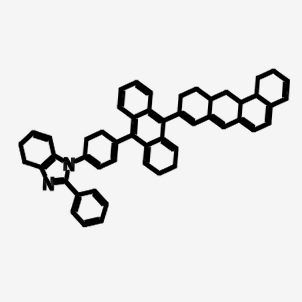 C1=Cc2c(nc(-c3ccccc3)n2C2=CC=C(c3c4c(c(C5=CC6=CC7=CC=C8C=CCCC8C7CC6CC5)c5ccccc35)=CCCC=4)CC2)CC1